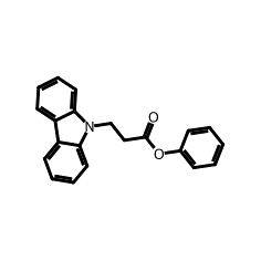 O=C(CCn1c2ccccc2c2ccccc21)Oc1ccccc1